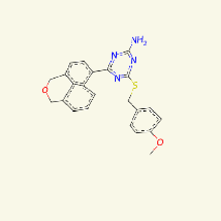 COc1ccc(CSc2nc(N)nc(-c3ccc4c5c(cccc35)COC4)n2)cc1